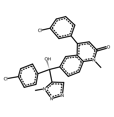 Cn1nncc1[C@@](O)(c1ccc(Cl)cc1)c1ccc2c(c1)c(-c1cccc(Cl)c1)cc(=O)n2C